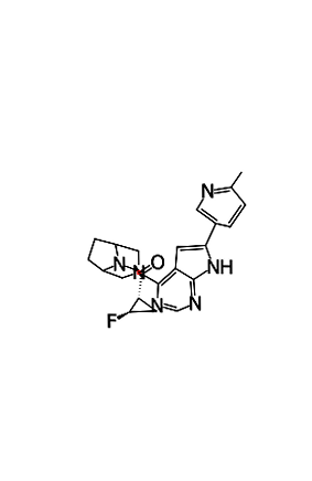 Cc1ccc(-c2cc3c(N4CC5CCC(C4)N5C(=O)[C@@H]4C[C@H]4F)ncnc3[nH]2)cn1